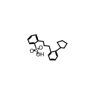 O=S(=O)(O)c1ccccc1CCCc1ccccc1C1CCCC1